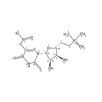 C=P(C)(C)CC[C@H]1O[C@@H](n2cc(CC(=O)CC)c(=O)[nH]c2=S)[C@H](O)[C@@H]1O